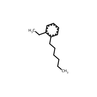 C[CH]c1ccccc1CCCCCC